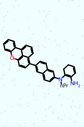 CCCN(C1=C(N)C=CCC1)c1ccc2cc(-c3ccc4c5c(cccc35)-c3ccccc3O4)ccc2c1